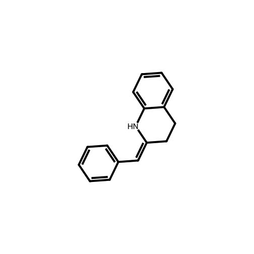 C(=C1\CCc2ccccc2N1)/c1ccccc1